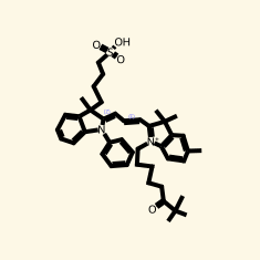 Cc1ccc2c(c1)C(C)(C)C(/C=C/C=C1\N(c3ccccc3)c3ccccc3C1(C)CCCCS(=O)(=O)O)=[N+]2CCCCCC(=O)C(C)(C)C